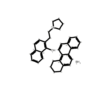 B.Oc1c(CCN2CCCC2)ccc2ccccc12.c1ccc2c(c1)ccc1c3c(ccc12)CCCC3